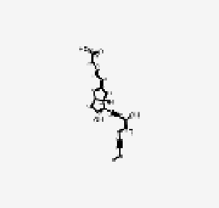 CCC#CC[C@H](C)[C@H](O)C#C[C@H]1[C@H](O)CC2C/C(=C\COCC(=O)O)C[C@@H]21